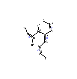 C\C=C/N=C(/C=N\C)N(C)/C(C)=C\C